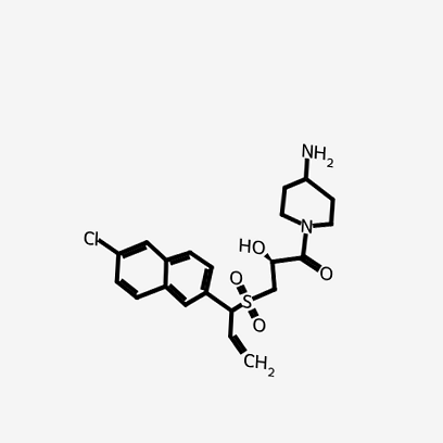 C=CC(c1ccc2cc(Cl)ccc2c1)S(=O)(=O)C[C@@H](O)C(=O)N1CCC(N)CC1